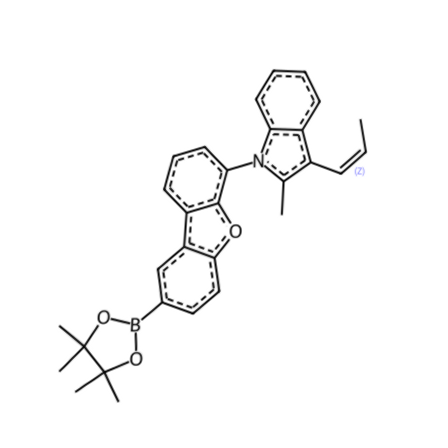 C/C=C\c1c(C)n(-c2cccc3c2oc2ccc(B4OC(C)(C)C(C)(C)O4)cc23)c2ccccc12